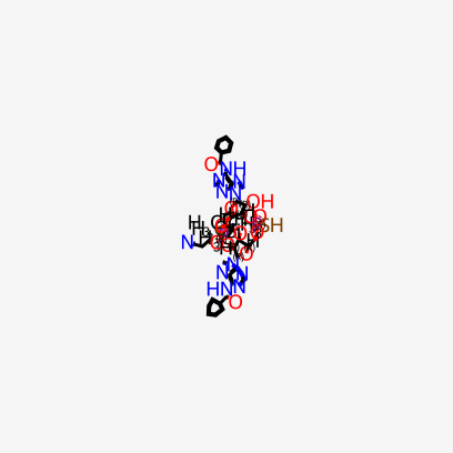 CC(C)(C)[Si](C)(C)OC1[C@H]2O[P@@](=S)(OCCC#N)OC[C@H]3O[C@@H](n4cnc5c(NC(=O)c6ccccc6)ncnc54)[C@H](O)[C@@H]3O[P@@](=O)(S)OC[C@H]1O[C@H]2n1cnc2c(NC(=O)c3ccccc3)ncnc21